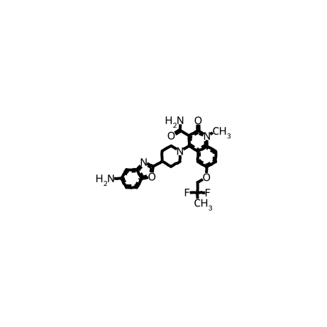 Cn1c(=O)c(C(N)=O)c(N2CCC(c3nc4cc(N)ccc4o3)CC2)c2cc(OCC(C)(F)F)ccc21